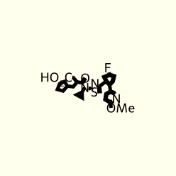 COc1ccc(-c2ccc(F)cc2-c2csc(N(C(=O)C(CC(=O)O)CC3CCCC3)C3CC3)n2)cn1